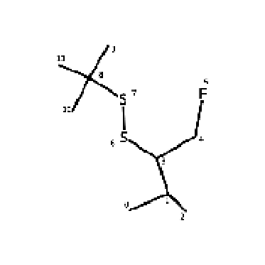 CC(C)C(CF)SSC(C)(C)C